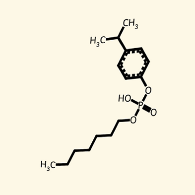 CCCCCCCOP(=O)(O)Oc1ccc(C(C)C)cc1